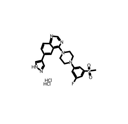 CS(=O)(=O)c1cc(F)cc(N2CCN(c3ncnc4ccc(-c5cn[nH]c5)cc34)CC2)c1.Cl.Cl